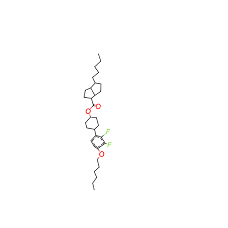 CCCCCCOc1ccc(C2CCC(OC(=O)C3CCC4C(CCCCC)CCC34)CC2)c(F)c1F